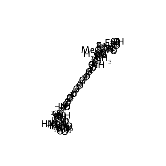 CC[C@@]1(O)C(=O)OCc2c1cc1n(c2=O)Cc2c-1nc1cc(F)c(OC)cc1c2CN1CCC([N+](C)(C)Cc2ccc(NC(=O)OCCOCCOCCOCCOCCOCCOCCOCCOCC(=O)NCCCC[C@H](NC(=O)CCC(=O)N(CCN3C(=O)C=CC3=O)CCN3C(=O)C=CC3=O)C(=O)NCCCC(=O)NC(C)C)cc2)CC1